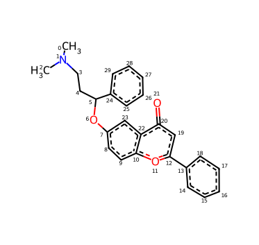 CN(C)CCC(Oc1ccc2oc(-c3ccccc3)cc(=O)c2c1)c1ccccc1